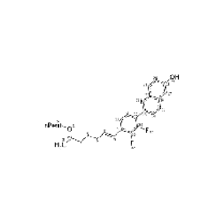 CCCCCOC(C)CCCC=Cc1ccc(-c2ccc3cc(O)ccc3n2)c(F)c1F